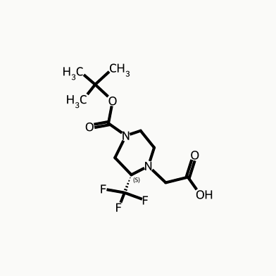 CC(C)(C)OC(=O)N1CCN(CC(=O)O)[C@H](C(F)(F)F)C1